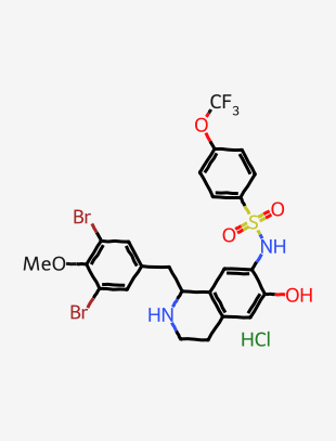 COc1c(Br)cc(CC2NCCc3cc(O)c(NS(=O)(=O)c4ccc(OC(F)(F)F)cc4)cc32)cc1Br.Cl